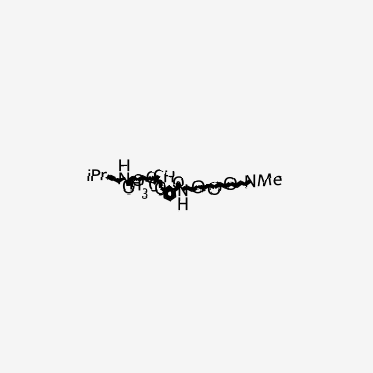 CNCCCOCCOCCOCCNC(=O)c1cccc(OCC(C)(C)OCCOCC(=O)NCC#CC(C)C)c1